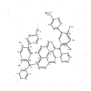 Cc1ccc(-c2cc(N(c3ccccc3)c3ccc4ccc5c(N(c6ccccc6)c6cc(-c7ccc(C(F)(F)F)cc7)c(F)cc6F)ccc6ccc3c4c65)c(F)cc2F)cc1